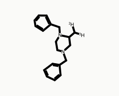 [2H]C([2H])C1CN(Cc2ccccc2)CCN1Cc1ccccc1